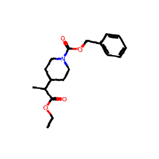 CCOC(=O)C(C)C1CCN(C(=O)OCc2ccccc2)CC1